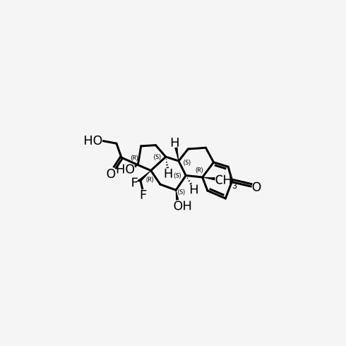 C[C@]12C=CC(=O)C=C1CC[C@@H]1[C@@H]2[C@@H](O)C[C@@]2(C(F)F)[C@H]1CC[C@]2(O)C(=O)CO